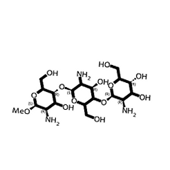 CO[C@H]1OC(CO)[C@H](O[C@@H]2OC(CO)C(O[C@H]3OC(CO)[C@H](O)C(O)[C@H]3N)[C@H](O)C2N)C(O)[C@H]1N